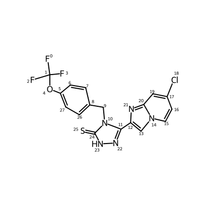 FC(F)(F)Oc1ccc(Cn2c(-c3cn4ccc(Cl)cc4n3)n[nH]c2=S)cc1